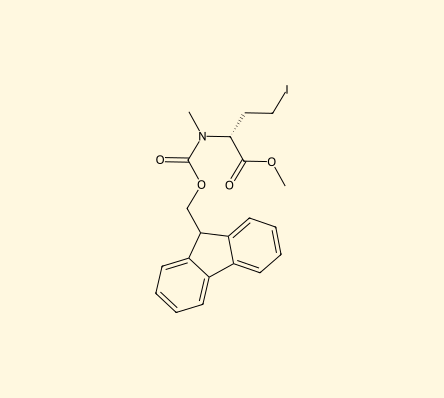 COC(=O)[C@@H](CCI)N(C)C(=O)OCC1c2ccccc2-c2ccccc21